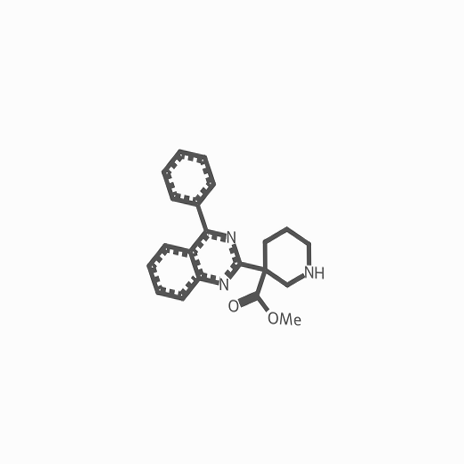 COC(=O)C1(c2nc(-c3ccccc3)c3ccccc3n2)CCCNC1